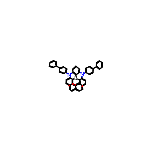 c1ccc(-c2ccc(N3c4cccc(-c5ccccc5)c4B4c5c(-c6ccccc6)cccc5N(c5ccc(-c6ccccc6)cc5)c5cccc3c54)cc2)cc1